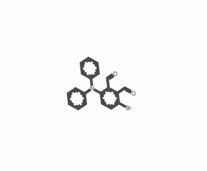 O=Cc1c(Br)ccc(N(c2ccccc2)c2ccccc2)c1C=O